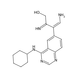 N=C(CO)/C(=C\N)c1ccc2ncnc(NC3CCCCC3)c2c1